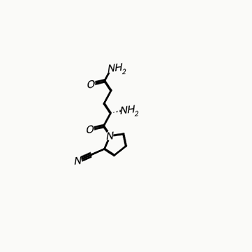 N#CC1CCCN1C(=O)[C@@H](N)CCC(N)=O